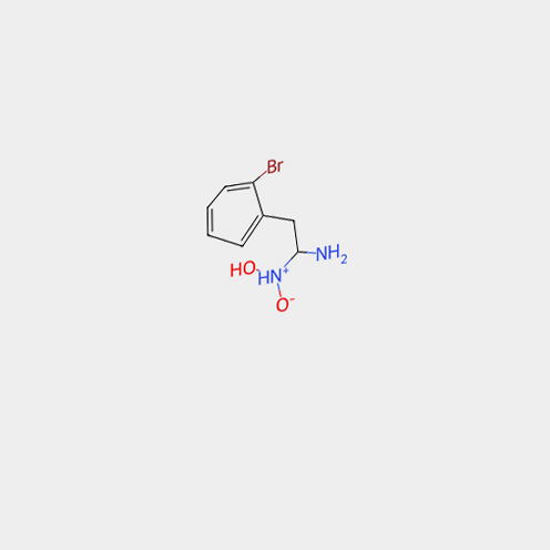 NC(Cc1ccccc1Br)[NH+]([O-])O